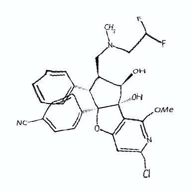 COc1nc(Cl)cc2c1[C@]1(O)[C@H](O)[C@H](CN(C)CC(F)F)[C@@H](c3ccccc3)[C@]1(c1ccc(C#N)cc1)O2